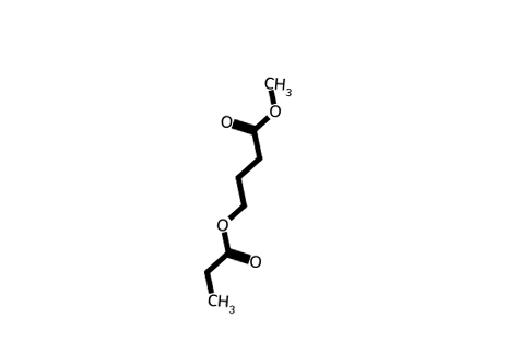 CCC(=O)OCCCC(=O)OC